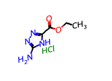 CCOC(=O)c1nnc(N)[nH]1.Cl